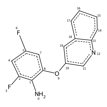 Nc1c(F)cc(F)cc1Oc1cnc2ccccc2c1